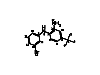 CC(C)(C)c1ccc(Nc2cccc(Br)c2)c(N)c1